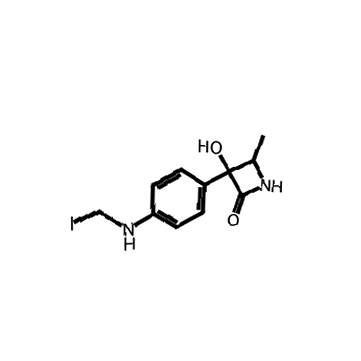 CC1NC(=O)C1(O)c1ccc(NCI)cc1